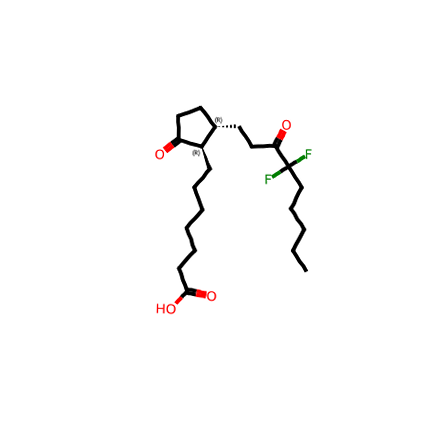 CCCCCC(F)(F)C(=O)CC[C@H]1CCC(=O)[C@@H]1CCCCCCC(=O)O